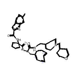 Cc1ccc2cc(C(=O)NC3(C(=O)N[C@H](C/C4=C/C=C\C=C\CC4)C(=O)NCC4CCN(CC5CCOCC5)CC4)CCCC3)sc2c1